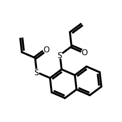 C=CC(=O)Sc1ccc2ccccc2c1SC(=O)C=C